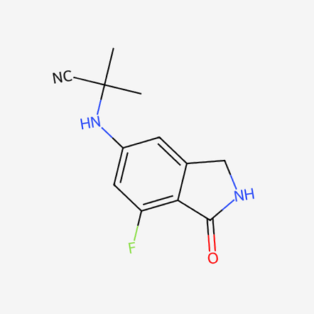 CC(C)(C#N)Nc1cc(F)c2c(c1)CNC2=O